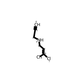 C#CCNCC=C(Cl)Cl